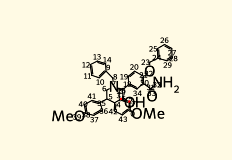 COc1ccc(C(CN(Cc2ccccc2)[C@H](CO)c2ccc(OCc3ccccc3)c(C(N)=O)c2)c2ccc(OC)cc2)cc1